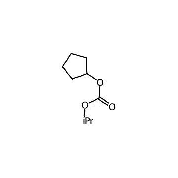 [CH2]C(C)OC(=O)OC1CCCC1